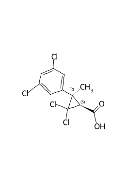 C[C@]1(c2cc(Cl)cc(Cl)c2)[C@@H](C(=O)O)C1(Cl)Cl